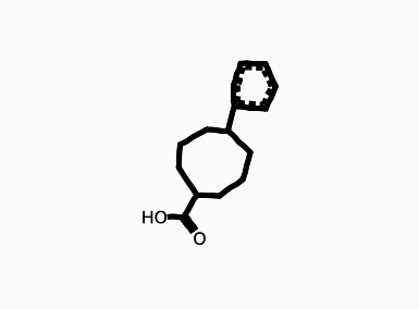 O=C(O)C1CCCC(c2ccccc2)CCC1